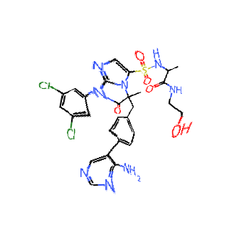 CC(NS(=O)(=O)c1cnc2n1C(C)(Cc1ccc(-c3cncnc3N)cc1)C(=O)N2c1cc(Cl)cc(Cl)c1)C(=O)NCCO